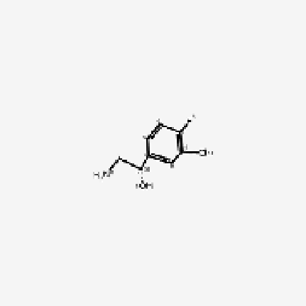 NC[C@@H](O)c1ccc(F)c(Cl)c1